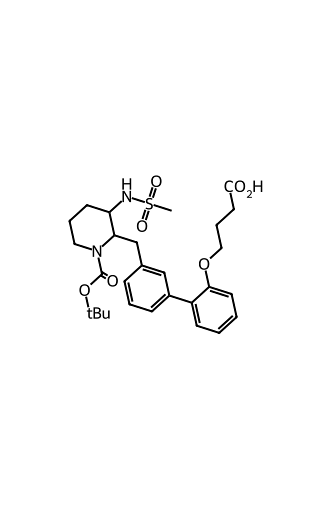 CC(C)(C)OC(=O)N1CCCC(NS(C)(=O)=O)C1Cc1cccc(-c2ccccc2OCCCC(=O)O)c1